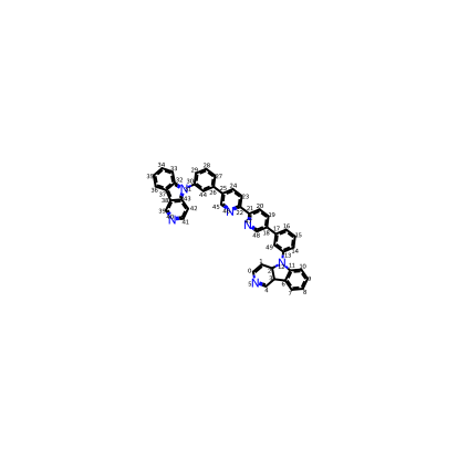 C1=CC2C(C=N1)c1ccccc1N2c1cccc(-c2ccc(-c3ccc(-c4cccc(-n5c6ccccc6c6cnccc65)c4)cn3)nc2)c1